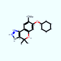 COc1cc2c(cc1OC1CCCCC1)OC(C)(C)c1[se]nnc1-2